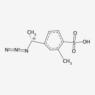 Cc1cc([C@@H](C)N=[N+]=[N-])ccc1S(=O)(=O)O